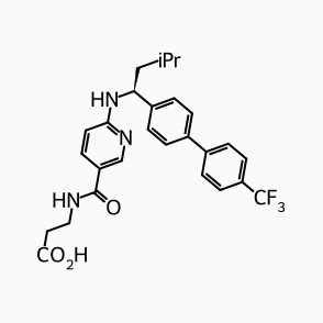 CC(C)C[C@H](Nc1ccc(C(=O)NCCC(=O)O)cn1)c1ccc(-c2ccc(C(F)(F)F)cc2)cc1